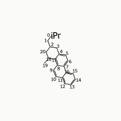 CC(C)CC1Cc2ccc3c(ccc4ccccc43)c2C(C)C1